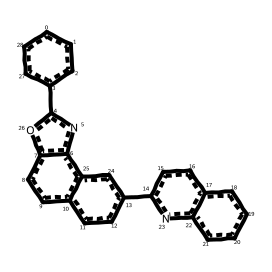 c1ccc(-c2nc3c(ccc4ccc(-c5ccc6ccccc6n5)cc43)o2)cc1